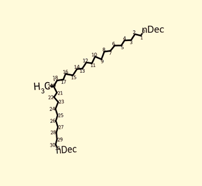 CCCCCCCCCCCCCCCCCCCCCCCCCCC[CH]C(C)CCCCCCCCCCCCCCCCCCCC